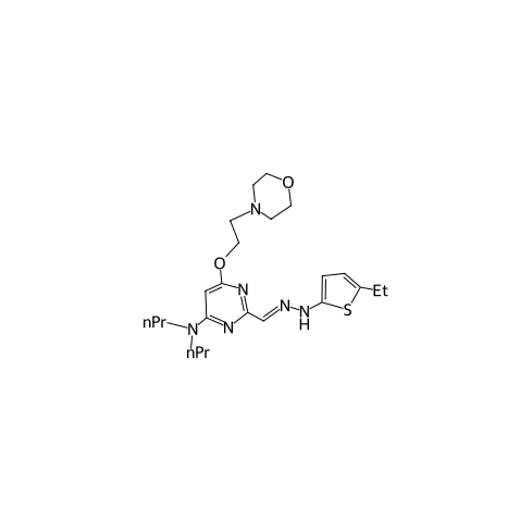 CCCN(CCC)c1cc(OCCN2CCOCC2)nc(/C=N/Nc2ccc(CC)s2)n1